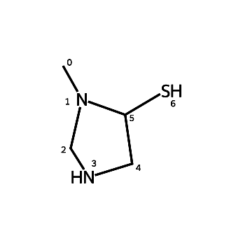 CN1CNCC1S